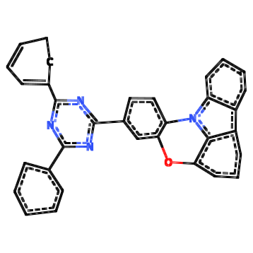 C1=CCCC(c2nc(-c3ccccc3)nc(-c3ccc4c(c3)Oc3cccc5c6ccccc6n-4c35)n2)=C1